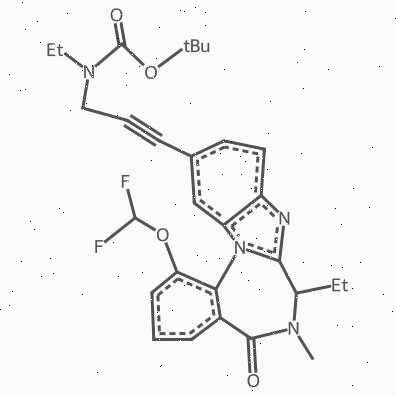 CCC1c2nc3ccc(C#CCN(CC)C(=O)OC(C)(C)C)cc3n2-c2c(OC(F)F)cccc2C(=O)N1C